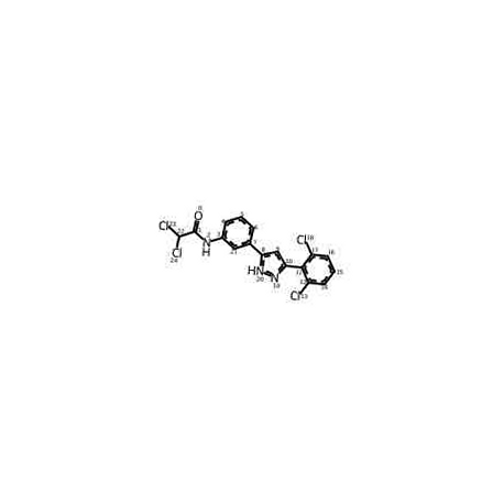 O=C(Nc1cccc(-c2cc(-c3c(Cl)cccc3Cl)n[nH]2)c1)C(Cl)Cl